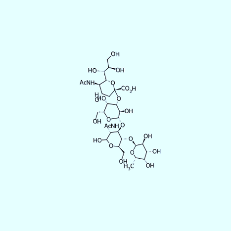 CC(=O)N[C@H]1[C@H]([C@H](O)[C@H](O)CO)O[C@@](O[C@H]2[C@@H](O)[C@@H](CO)O[C@@H](O[C@H]3[C@H](O[C@@H]4O[C@@H](C)[C@@H](O)[C@@H](O)[C@@H]4O)[C@@H](CO)OC(O)[C@@H]3NC(C)=O)[C@@H]2O)(C(=O)O)C[C@@H]1O